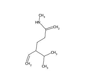 C=CC(CCC(=C)NC)C(C)C